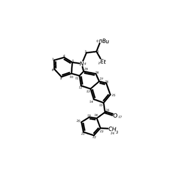 CCCCC(CC)Cn1c2ccccc2c2cc3cc(C(=O)c4ccccc4C)ccc3cc21